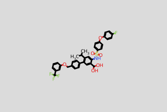 CC(C)c1cc(NS(=O)(=O)c2ccc(Oc3ccc(F)cc3)cc2)c(C(O)O)cc1-c1ccc(COc2cccc(C(F)(F)F)c2)cc1